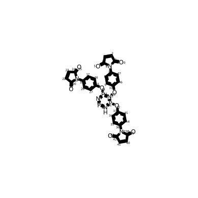 O=C1C=CC(=O)N1c1ccc(On2p(Oc3ccc(N4C(=O)C=CC4=O)cc3)np[nH]p2Oc2ccc(N3C(=O)C=CC3=O)cc2)cc1